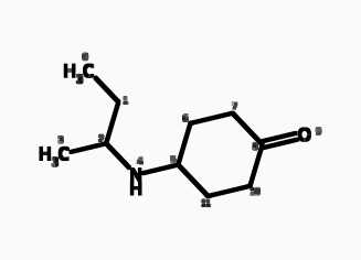 CCC(C)NC1CCC(=O)CC1